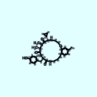 C[C@@H]1C(=O)N[C@H](Cc2ccc(O)cc2)C(=O)NCCCc2ccc(F)cc2OCCN[C@@H](C2CC2)C(=O)N1C